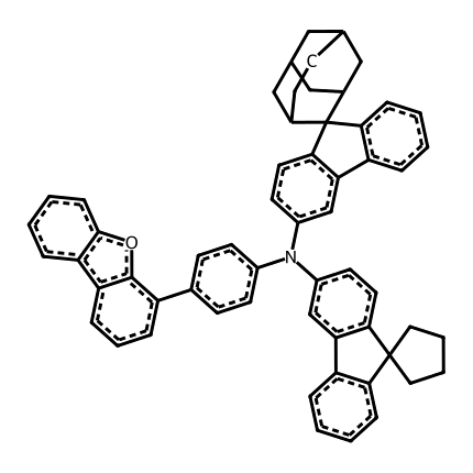 c1ccc2c(c1)-c1cc(N(c3ccc(-c4cccc5c4oc4ccccc45)cc3)c3ccc4c(c3)-c3ccccc3C43C4CCC5CC(C4)CC3C5)ccc1C21CCCC1